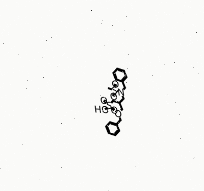 CS(=O)(=O)N(Cc1ccccc1)CC(COCc1ccccc1)CS(=O)(=O)O